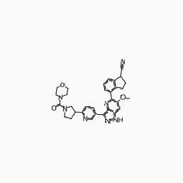 COc1cc2[nH]nc(-c3ccc(C4CCN(C(=O)N5CCOCC5)C4)nc3)c2nc1-c1cccc2c1CCC2C#N